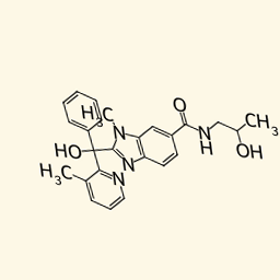 Cc1cccnc1C(O)(c1ccccc1)c1nc2ccc(C(=O)NCC(C)O)cc2n1C